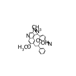 COc1cc2ncc3c(c(-c4ccc(C#N)cc4)nn3C)c2cc1CC(C(=O)O)c1ccccc1